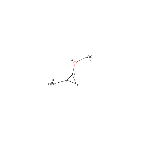 CCCC1CC1OC(C)=O